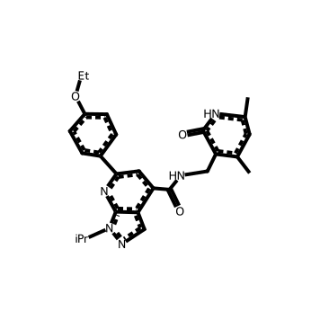 CCOc1ccc(-c2cc(C(=O)NCc3c(C)cc(C)[nH]c3=O)c3cnn(C(C)C)c3n2)cc1